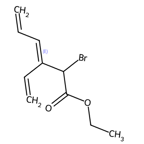 C=C/C=C(\C=C)C(Br)C(=O)OCC